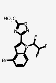 O=C(O)c1nc(-c2cc3c(Br)cccc3n2C(F)C(F)F)no1